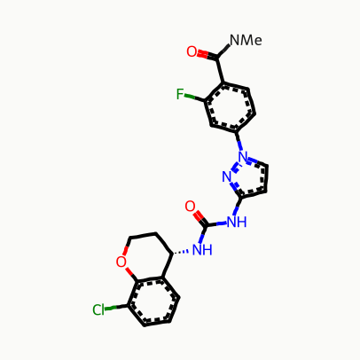 CNC(=O)c1ccc(-n2ccc(NC(=O)N[C@H]3CCOc4c(Cl)cccc43)n2)cc1F